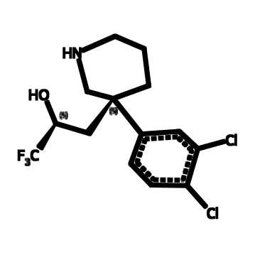 O[C@@H](C[C@]1(c2ccc(Cl)c(Cl)c2)CCCNC1)C(F)(F)F